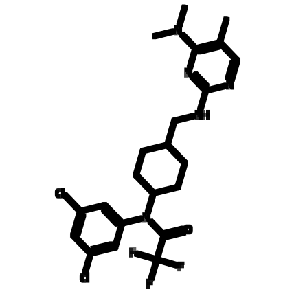 Cc1cnc(NCC2CCC(N(C(=O)C(F)(F)F)c3cc(Cl)cc(Cl)c3)CC2)nc1N(C)C